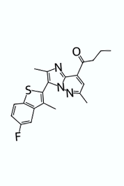 CCCC(=O)c1cc(C)nn2c(-c3sc4ccc(F)cc4c3C)c(C)nc12